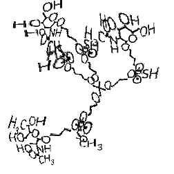 COSP(=O)(OCCCCOC(OC(CO)[C@@H](C)O)[C@H](CO)NC(C)=O)OCCCOCC(COCCCCOP(=O)(O)S)(COCCCOP(=O)(S)OCCCCOC1OC(CO)C(O)C(O)C1NC(C)=O)COCCCOP(=O)(S)OCCCCOC1OC(CO)C(O)C(O)C1NC(C)=O